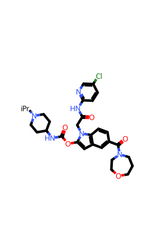 CC(C)N1CCC(NC(=O)Oc2cc3cc(C(=O)N4CCCOCC4)ccc3n2CC(=O)Nc2ccc(Cl)cn2)CC1